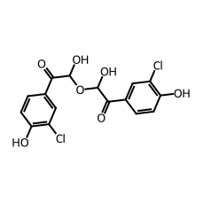 O=C(c1ccc(O)c(Cl)c1)C(O)OC(O)C(=O)c1ccc(O)c(Cl)c1